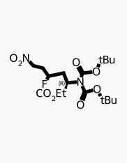 CCOC(=O)[C@@H](CC(F)CC[N+](=O)[O-])N(C(=O)OC(C)(C)C)C(=O)OC(C)(C)C